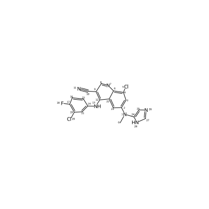 CN(c1cc(Cl)c2ncc(C#N)c(Nc3ccc(F)c(Cl)c3)c2c1)c1cnc[nH]1